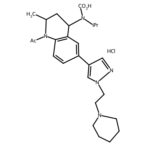 CC(=O)N1c2ccc(-c3cnn(CCN4CCCCC4)c3)cc2C(N(C(=O)O)C(C)C)CC1C.Cl